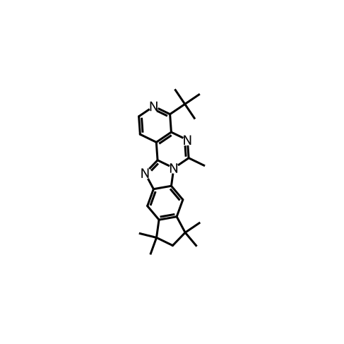 Cc1nc2c(C(C)(C)C)nccc2c2nc3cc4c(cc3n12)C(C)(C)CC4(C)C